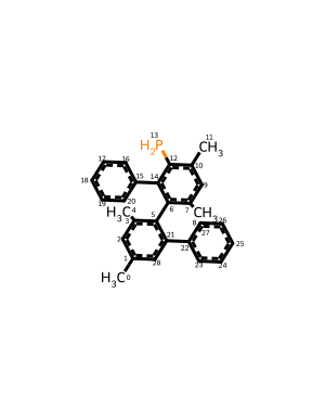 Cc1cc(C)c(-c2c(C)cc(C)c(P)c2-c2ccccc2)c(-c2ccccc2)c1